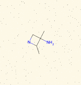 CC1[N]CC1(C)N